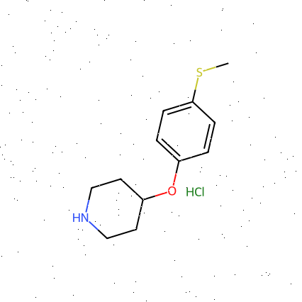 CSc1ccc(OC2CCNCC2)cc1.Cl